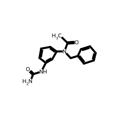 CC(=O)N(Cc1ccccc1)c1cccc(NC(N)=O)c1